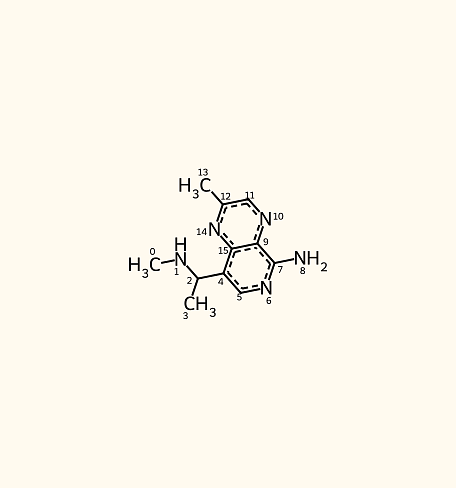 CNC(C)c1cnc(N)c2ncc(C)nc12